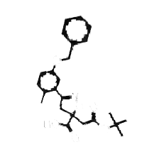 Cc1ccc(OCc2ccccc2)cc1C1=NOC(CC(=O)OC(C)(C)C)(C(=O)O)C1